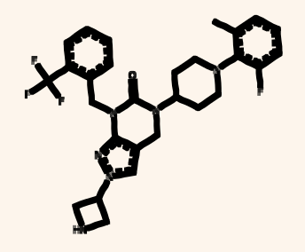 Cc1cccc(F)c1N1CCC(N2Cc3cn(C4CNC4)nc3N(Cc3ccccc3C(F)(F)F)C2=O)CC1